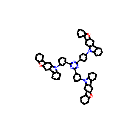 c1cc(-c2nc(-c3ccc(-n4c5ccccc5c5cc6oc7ccccc7c6cc54)cc3)nc(-c3cccc(-n4c5ccccc5c5cc6oc7ccccc7c6cc54)c3)n2)cc(-n2c3ccccc3c3cc4oc5ccccc5c4cc32)c1